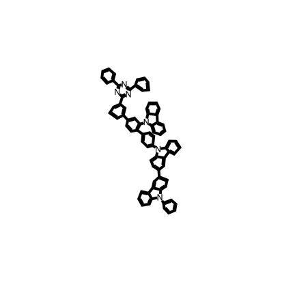 c1ccc(-c2nc(-c3ccccc3)nc(-c3cccc(-c4ccc(-c5ccc(-n6c7ccccc7c7cc(-c8ccc9c(c8)c8ccccc8n9-c8ccccc8)ccc76)cc5)c(-n5c6ccccc6c6ccccc65)c4)c3)n2)cc1